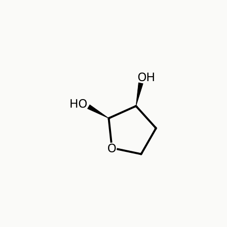 O[C@@H]1OCC[C@@H]1O